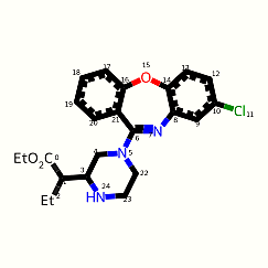 CCOC(=O)C(CC)C1CN(C2=Nc3cc(Cl)ccc3Oc3ccccc32)CCN1